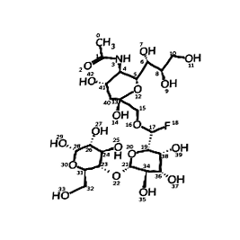 CC(=O)N[C@H]1[C@H]([C@H](O)[C@H](O)CO)O[C@](O)(COC(F)[C@H]2O[C@@H](O[C@H]3[C@H](O)[C@@H](O)[C@@H](O)O[C@@H]3CO)[C@H](O)[C@@H](O)[C@H]2O)C[C@@H]1O